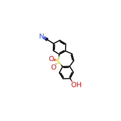 N#Cc1ccc2c(c1)S(=O)(=O)c1ccc(O)cc1C=C2